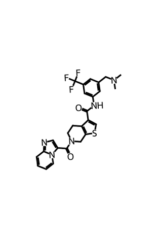 CN(C)Cc1cc(NC(=O)c2csc3c2CCN(C(=O)c2cnc4ccccn24)C3)cc(C(F)(F)F)c1